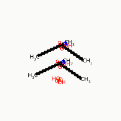 CCCCCCCCCCCCCCCC(=O)C(CN(C)O)C(=O)CCCCCCCCCCCCCCC.CCCCCCCCCCCCCCCC(=O)C(CN(C)O)C(=O)CCCCCCCCCCCCCCC.O=S(=O)(O)O